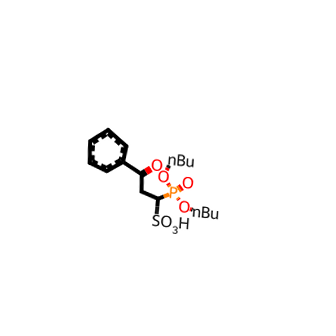 CCCCOP(=O)(OCCCC)C(CC(=O)c1ccccc1)S(=O)(=O)O